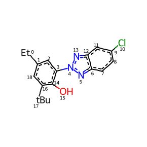 CCc1cc(-n2nc3ccc(Cl)cc3n2)c(O)c(C(C)(C)C)c1